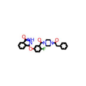 O=C(Cc1ccccc1)N1CCN(C(=O)c2cc(Oc3n[nH]c(=O)c4ccccc34)ccc2F)CC1